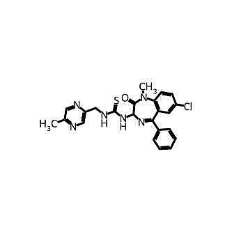 Cc1cnc(CNC(=S)NC2N=C(c3ccccc3)c3cc(Cl)ccc3N(C)C2=O)cn1